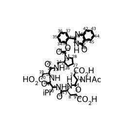 CC(=O)N[C@@H](CC(=O)O)C(=O)N[C@@H](CCC(=O)O)C(=O)N[C@H](C(=O)N[C@@H](CC(=O)O)C(=O)NC[C@@H]1CCCN1C(=O)Oc1ccccc1-c1nc2ccccc2c(=O)[nH]1)C(C)C